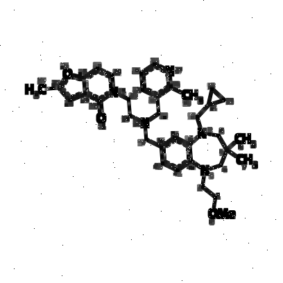 COCCN1CC(C)(C)CN(CC2CC2)c2cc(CN(CCn3ccc4oc(C)cc4c3=O)Cc3cccnc3C)ccc21